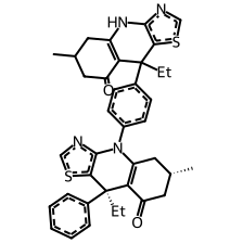 CCC1(c2ccc(N3C4=C(C(=O)C[C@@H](C)C4)[C@@](CC)(c4ccccc4)c4scnc43)cc2)C2=C(CC(C)CC2=O)Nc2ncsc21